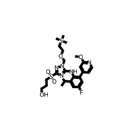 COc1cc(-c2cc(F)cc(C(C)C)c2Nc2nc(S(=O)(=O)CCCO)nn2COCC[Si](C)(C)C)ccn1